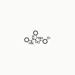 COc1cccc(C(=O)NC(C(=O)NC(=N)c2ccccc2)c2ccccc2)c1